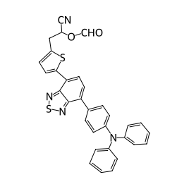 N#CC(Cc1ccc(-c2ccc(-c3ccc(N(c4ccccc4)c4ccccc4)cc3)c3nsnc23)s1)OC=O